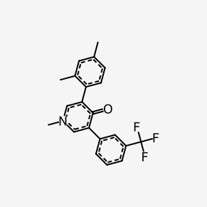 Cc1ccc(-c2cn(C)cc(-c3cccc(C(F)(F)F)c3)c2=O)c(C)c1